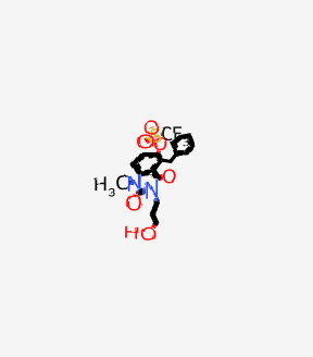 Cn1c(=O)n(CCCO)c(=O)c2c(Cc3ccccc3)c(OS(=O)(=O)C(F)(F)F)ccc21